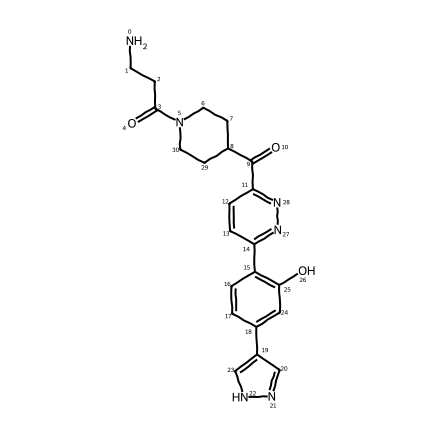 NCCC(=O)N1CCC(C(=O)c2ccc(-c3ccc(-c4cn[nH]c4)cc3O)nn2)CC1